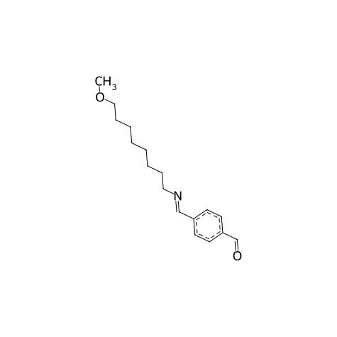 COCCCCCCCCN=Cc1ccc(C=O)cc1